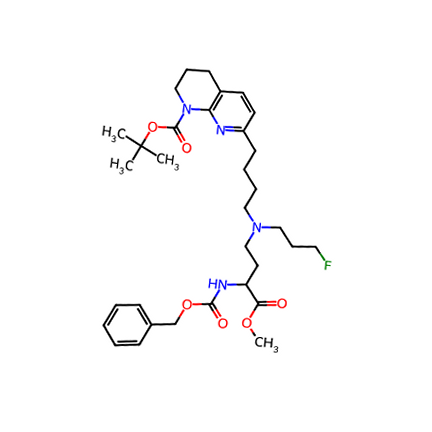 COC(=O)C(CCN(CCCF)CCCCc1ccc2c(n1)N(C(=O)OC(C)(C)C)CCC2)NC(=O)OCc1ccccc1